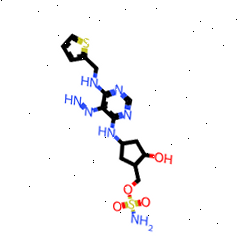 N=Nc1c(NCc2cccs2)ncnc1NC1CC(O)C(COS(N)(=O)=O)C1